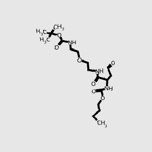 CCCCOC(=O)NC(CC=O)C(=O)NCCOCCNC(=O)OC(C)(C)C